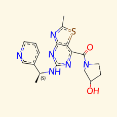 Cc1nc2nc(N[C@@H](C)c3cccnc3)nc(C(=O)N3CCC(O)C3)c2s1